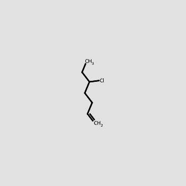 C=CCCC(Cl)CC